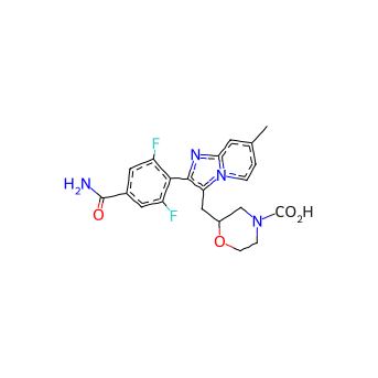 Cc1ccn2c(CC3CN(C(=O)O)CCO3)c(-c3c(F)cc(C(N)=O)cc3F)nc2c1